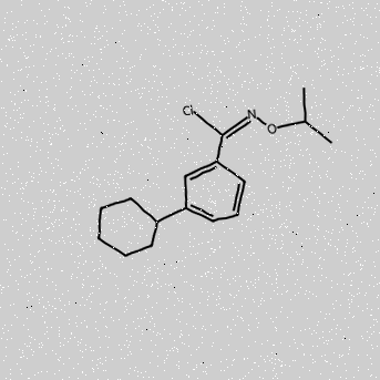 CC(C)O/N=C(/Cl)c1cccc(C2CCCCC2)c1